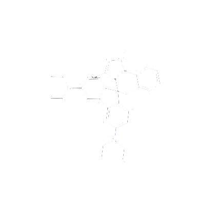 CCc1nn(C)c2c1C1(Oc3ccccc3-2)c2ccc(N(CC)CC)cc2-c2cc(N(CC)CC)ccc21